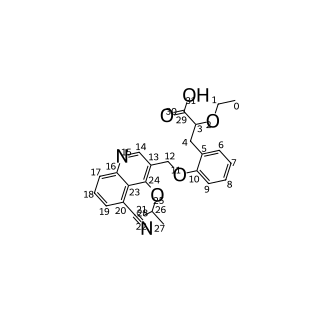 CCOC(Cc1ccccc1OCc1cnc2cccc(C#N)c2c1OC(C)C)C(=O)O